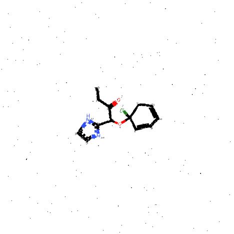 CCC(=O)C(OC1(Cl)C=CC=CC1)c1ncc[nH]1